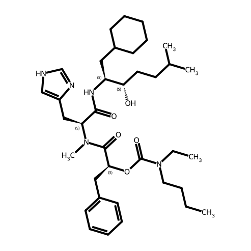 CCCCN(CC)C(=O)O[C@@H](Cc1ccccc1)C(=O)N(C)[C@@H](Cc1c[nH]cn1)C(=O)N[C@@H](CC1CCCCC1)[C@@H](O)CCC(C)C